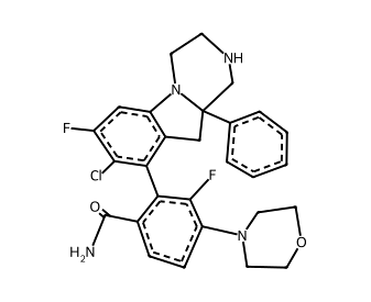 NC(=O)c1ccc(N2CCOCC2)c(F)c1-c1c(Cl)c(F)cc2c1CC1(c3ccccc3)CNCCN21